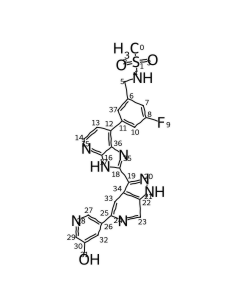 CS(=O)(=O)NCc1cc(F)cc(-c2ccnc3[nH]c(-c4n[nH]c5cnc(-c6cncc(O)c6)cc45)nc23)c1